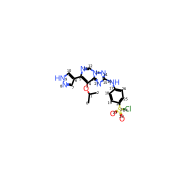 CC(C)Oc1c(-c2cn[nH]c2)ncn2nc(Nc3ccc(S(=O)(=O)Cl)cc3)nc12